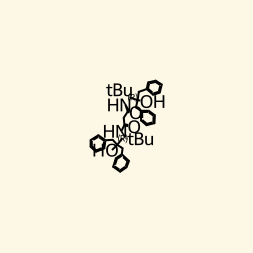 CC(C)(C)[C@@H](NC(=O)CC(=O)N[C@H](C(C)(C)C)C(O)(Cc1ccccc1)Cc1ccccc1)C(O)(Cc1ccccc1)Cc1ccccc1